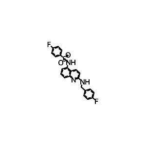 O=S(=O)(Nc1cccc2nc(NCc3ccc(F)cc3)ccc12)c1ccc(F)cc1